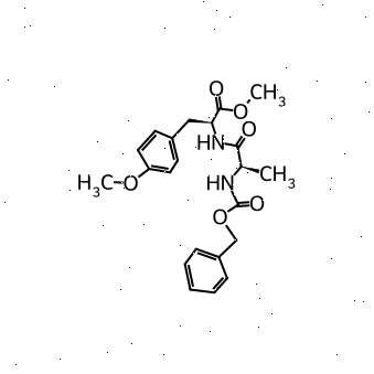 COC(=O)[C@H](Cc1ccc(OC)cc1)NC(=O)[C@@H](C)NC(=O)OCc1ccccc1